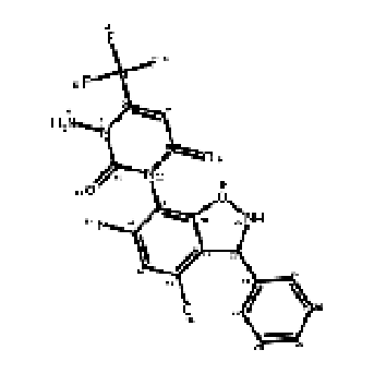 Nn1c(C(F)(F)F)cc(=O)n(-c2c(F)cc(Cl)c3c2ONC3c2ccccc2)c1=O